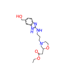 CCOC(=O)CC1CN(CCCNc2nc3ccc(CO)cc3[nH]2)CCO1